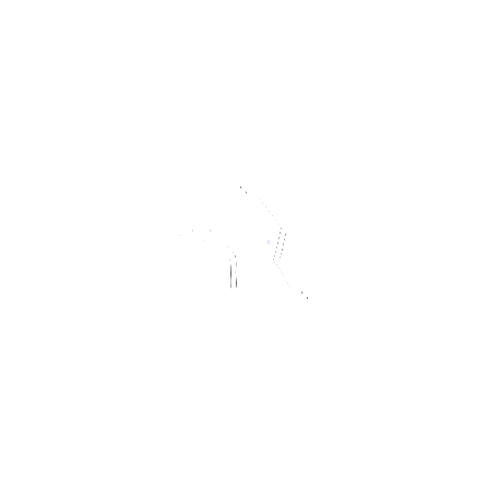 C=CC(=O)OCC.N#C/C=C/C#N